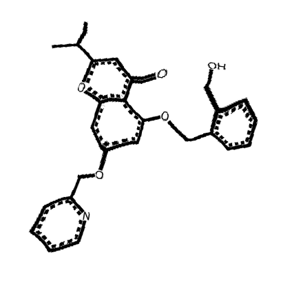 CC(C)c1cc(=O)c2c(OCc3ccccc3CO)cc(OCc3ccccn3)cc2o1